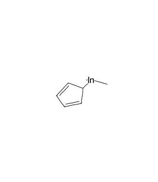 [CH3][In][CH]1C=CC=C1